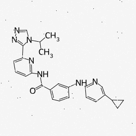 CC(C)n1cnnc1-c1cccc(NC(=O)c2cccc(Nc3ccc(C4CC4)cn3)c2)n1